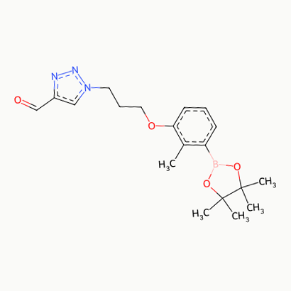 Cc1c(OCCCn2cc(C=O)nn2)cccc1B1OC(C)(C)C(C)(C)O1